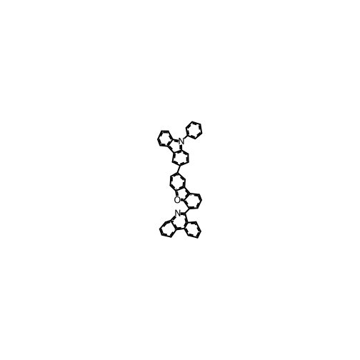 c1ccc(-n2c3ccccc3c3cc(-c4ccc5oc6c(-c7nc8ccccc8c8ccccc78)cccc6c5c4)ccc32)cc1